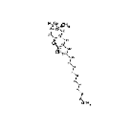 CCCCCCCCCCCCCC(CC1CCCC(C)(C)C1)C(C)=O